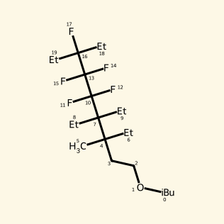 CCC(C)OCCC(C)(CC)C(CC)(CC)C(F)(F)C(F)(F)C(F)(CC)CC